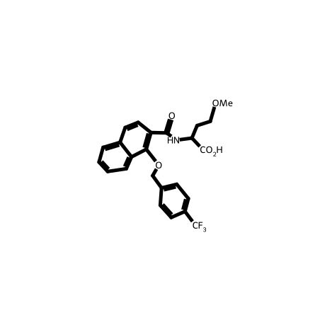 COCCC(NC(=O)c1ccc2ccccc2c1OCc1ccc(C(F)(F)F)cc1)C(=O)O